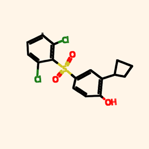 O=S(=O)(c1ccc(O)c(C2CCC2)c1)c1c(Cl)[c]ccc1Cl